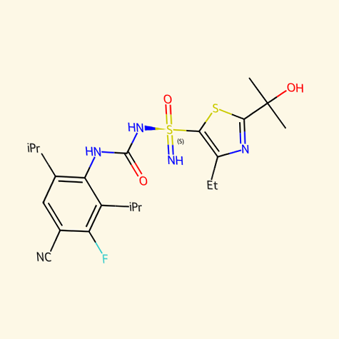 CCc1nc(C(C)(C)O)sc1[S@](=N)(=O)NC(=O)Nc1c(C(C)C)cc(C#N)c(F)c1C(C)C